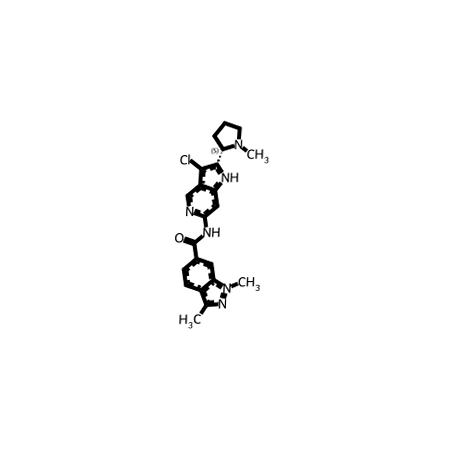 Cc1nn(C)c2cc(C(=O)Nc3cc4[nH]c([C@@H]5CCCN5C)c(Cl)c4cn3)ccc12